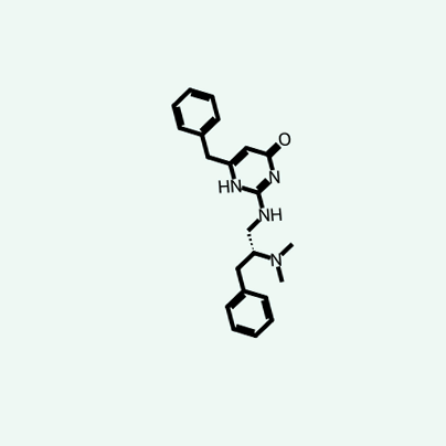 CN(C)[C@@H](CNc1nc(=O)cc(Cc2ccccc2)[nH]1)Cc1ccccc1